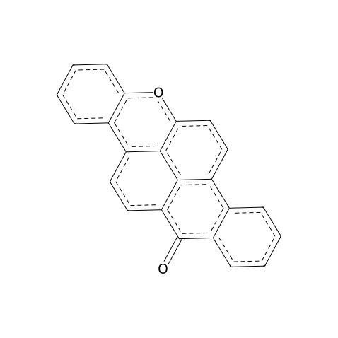 O=c1c2ccccc2c2ccc3oc4ccccc4c4ccc1c2c34